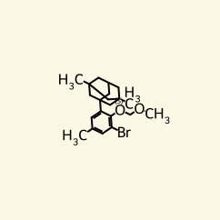 COCOc1c(Br)cc(C)cc1C12CC3CC(C)(C1)C[C@](C)(C3)C2